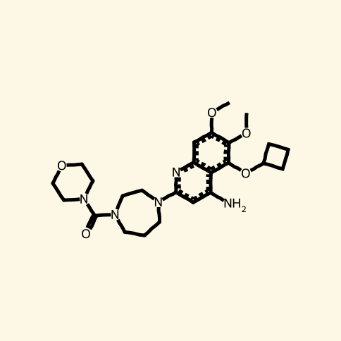 COc1cc2nc(N3CCCN(C(=O)N4CCOCC4)CC3)cc(N)c2c(OC2CCC2)c1OC